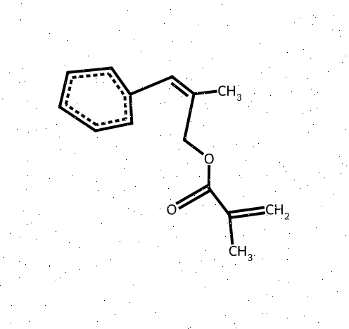 C=C(C)C(=O)OCC(C)=Cc1ccccc1